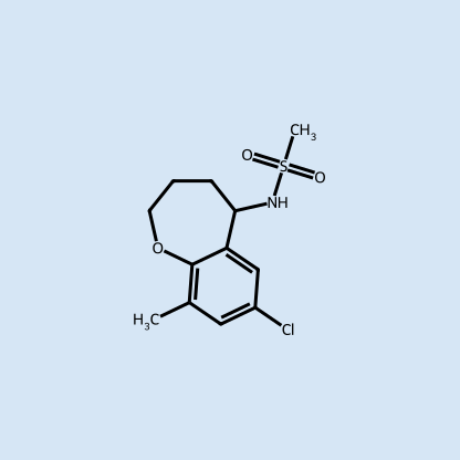 Cc1cc(Cl)cc2c1OCCCC2NS(C)(=O)=O